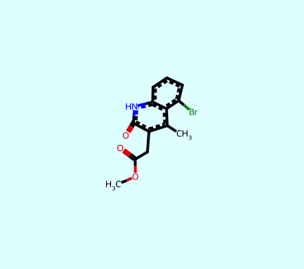 COC(=O)Cc1c(C)c2c(Br)cccc2[nH]c1=O